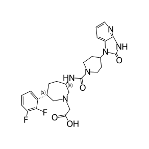 O=C(O)CN1C[C@H](NC(=O)N2CCC(n3c(=O)[nH]c4ncccc43)CC2)CC[C@@H](c2cccc(F)c2F)C1